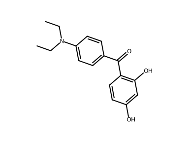 CCN(CC)c1ccc(C(=O)c2ccc(O)cc2O)cc1